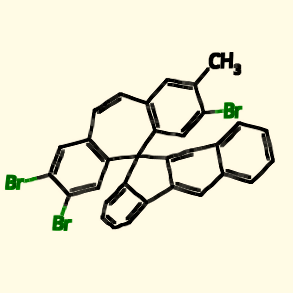 Cc1cc2c(cc1Br)C1(c3cc(Br)c(Br)cc3C=C2)c2ccccc2-c2cc3ccccc3cc21